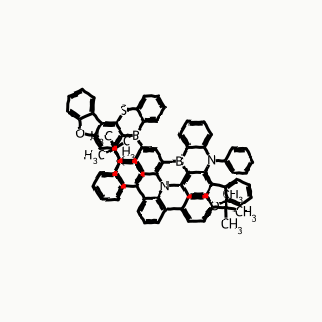 CC(C)(C)c1ccc(-c2cccc(-c3ccc(C(C)(C)C)cc3)c2N2c3cc4c(cc3B3c5ccccc5N(c5ccccc5)c5c3c2cc2oc3ccccc3c52)B2c3ccccc3Sc3c2c(cc2oc5ccccc5c32)N4c2ccccc2)cc1